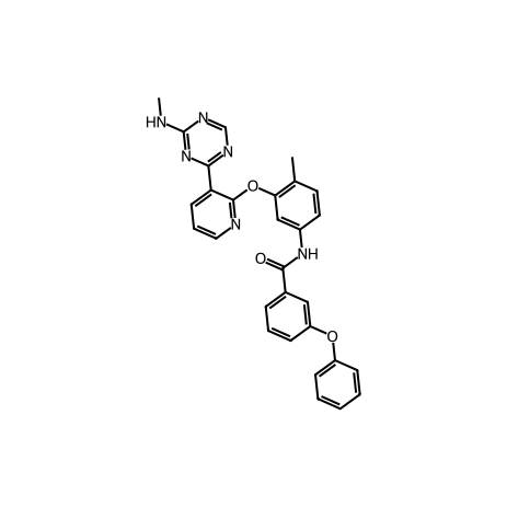 CNc1ncnc(-c2cccnc2Oc2cc(NC(=O)c3cccc(Oc4ccccc4)c3)ccc2C)n1